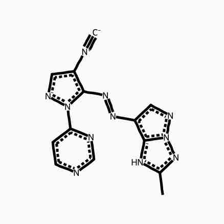 [C-]#[N+]c1cnn(-c2ccncn2)c1/N=N/c1cnn2nc(C)[nH]c12